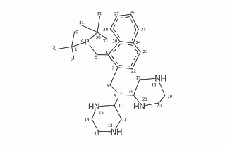 CC(C)(C)P(Cc1c(CP(C2CNCCN2)C2CNCCN2)ccc2ccccc12)C(C)(C)C